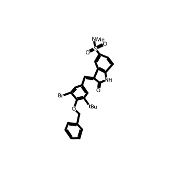 CNS(=O)(=O)c1ccc2c(c1)C(=Cc1cc(Br)c(OCc3ccccc3)c(C(C)(C)C)c1)C(=O)N2